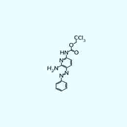 Nc1nc(NC(=O)OCC(Cl)(Cl)Cl)ccc1/N=N/c1ccccc1